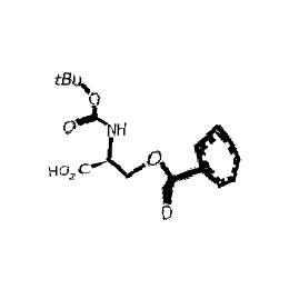 CC(C)(C)OC(=O)N[C@@H](COC(=O)c1ccccc1)C(=O)O